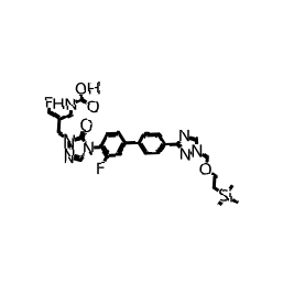 C[Si](C)(C)CCOCn1cnc(-c2ccc(-c3ccc(-n4cnn(C/C(=C/F)CNC(=O)O)c4=O)c(F)c3)cc2)n1